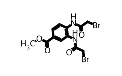 COC(=O)c1ccc(NC(=O)CBr)c(NC(=O)CBr)c1